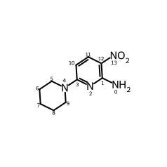 Nc1nc(N2CCCCC2)ccc1[N+](=O)[O-]